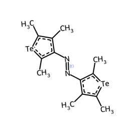 Cc1[te]c(C)c(/N=N/c2c(C)[te]c(C)c2C)c1C